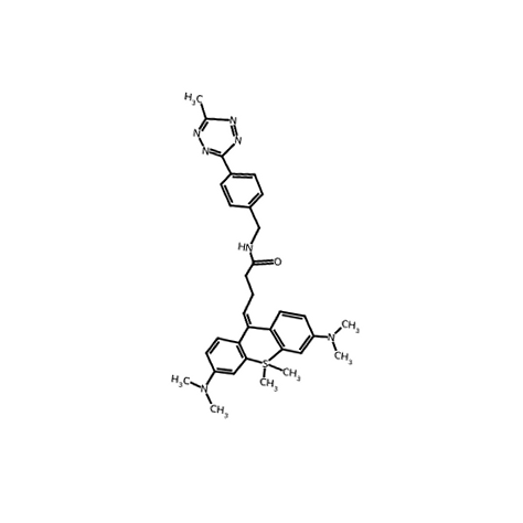 Cc1nnc(-c2ccc(CNC(=O)CCC=C3c4ccc(N(C)C)cc4S(C)(C)c4cc(N(C)C)ccc43)cc2)nn1